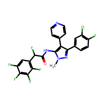 Cn1nc(-c2ccc(F)c(Cl)c2)c(-c2ccncc2)c1NC(=O)C(F)c1cc(F)c(F)c(F)c1F